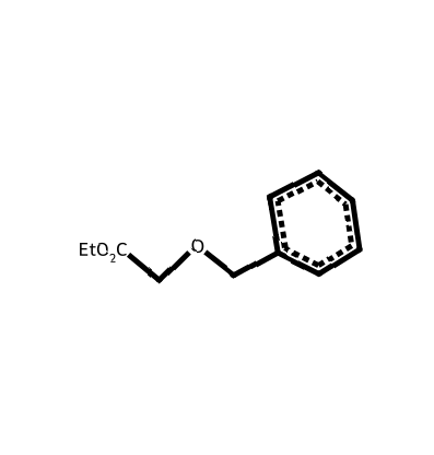 C[CH]OC(=O)COCc1ccccc1